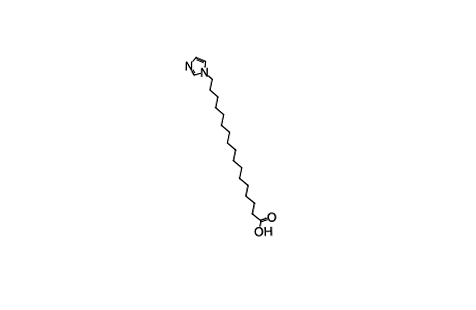 O=C(O)CCCCCCCCCCCCCCCCn1ccnc1